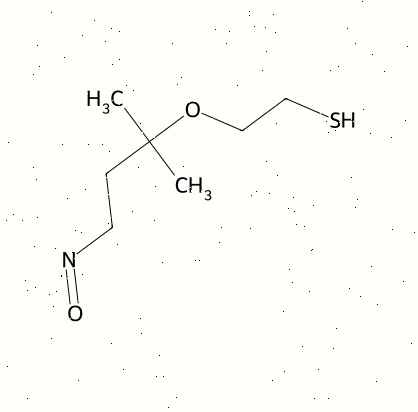 CC(C)(CCN=O)OCCS